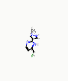 Cn1cc(-c2nccc(CCl)n2)cn1